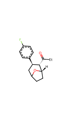 CCC(=O)[C@@H]1[C@@H]2CCC(C[C@H]1c1ccc(F)cc1)O2